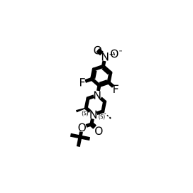 C[C@H]1CN(c2c(F)cc([N+](=O)[O-])cc2F)C[C@H](C)N1C(=O)OC(C)(C)C